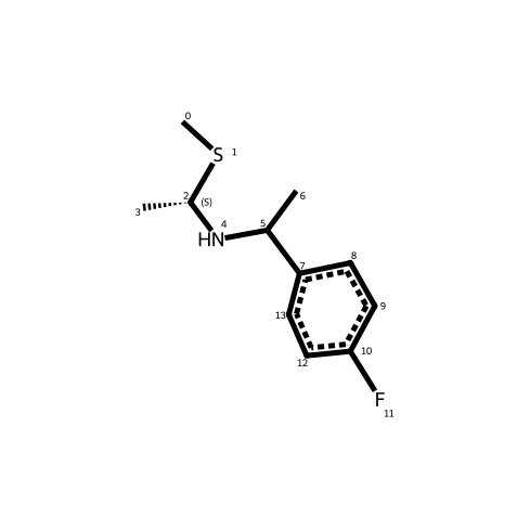 CS[C@@H](C)NC(C)c1ccc(F)cc1